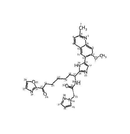 COc1cc2nc(C)ccc2cc1-c1cnc(C(CCCCCC(=O)c2ncco2)NC(=O)Cn2cccn2)[nH]1